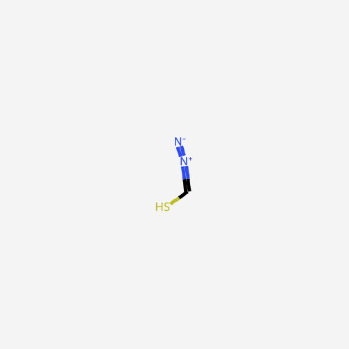 [N-]=[N+]=CS